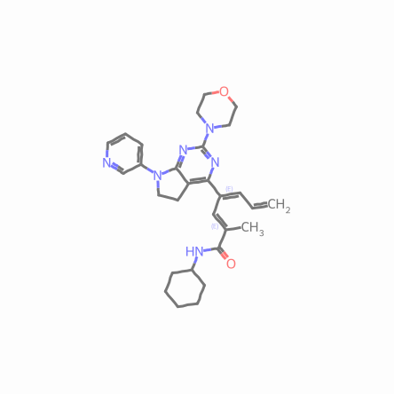 C=C/C=C(\C=C(/C)C(=O)NC1CCCCC1)c1nc(N2CCOCC2)nc2c1CCN2c1cccnc1